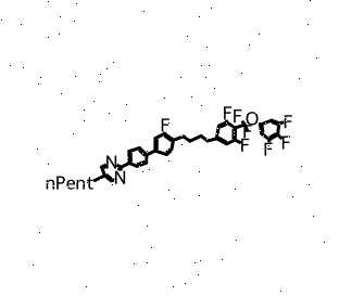 CCCCCc1cnc(-c2ccc(-c3ccc(CCCCc4cc(F)c(C(F)(F)Oc5cc(F)c(F)c(F)c5)c(F)c4)c(F)c3)cc2)nc1